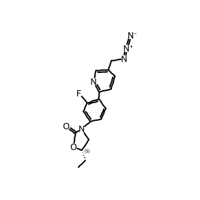 CC[C@H]1CN(c2ccc(-c3ccc(CN=[N+]=[N-])cn3)c(F)c2)C(=O)O1